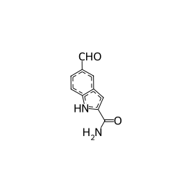 NC(=O)c1cc2cc(C=O)ccc2[nH]1